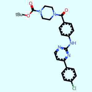 CC(C)(C)OC(=O)N1CCN(C(=O)c2ccc(Nc3nccc(-c4ccc(Cl)cc4)n3)cc2)CC1